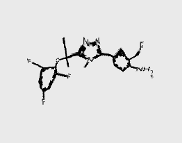 Cn1c(-c2ccc(N)c(F)c2)nnc1C(C)(C)Oc1c(F)cc(F)cc1F